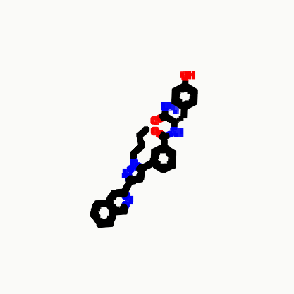 CCCCn1nc(-c2cc3ccccc3cn2)cc1-c1cccc(C(=O)N[C@@H](Cc2ccc(O)cc2)C(N)=O)c1